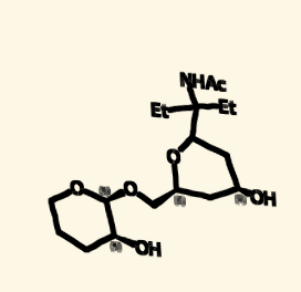 CCC(CC)(NC(C)=O)C1C[C@@H](O)C[C@@H](CO[C@@H]2OCCC[C@@H]2O)O1